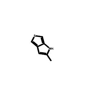 Cc1cc2cscc2[nH]1